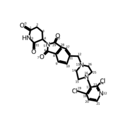 O=C1CCC(N2C(=O)c3ccc(CN4CCN(c5c(Cl)ccnc5Cl)CC4)cc3C2=O)C(=O)N1